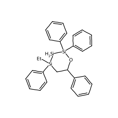 CC[Si]1(c2ccccc2)CC(c2ccccc2)O[Si](c2ccccc2)(c2ccccc2)[SiH2]1